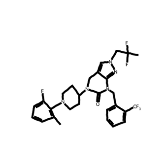 Cc1cccc(F)c1N1CCC(N2Cc3cn(CC(C)(F)F)nc3N(Cc3ccccc3C(F)(F)F)C2=O)CC1